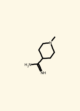 CN1CCC(C(=N)N)CC1